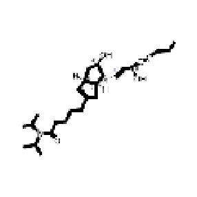 CCCCC[C@@H](O)/C=C/[C@@H]1[C@H]2CC(CCCCC(=O)N(C(C)C)C(C)C)=C[C@H]2C[C@H]1O